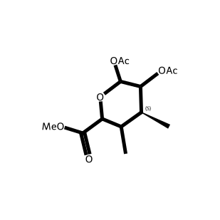 COC(=O)C1OC(OC(C)=O)C(OC(C)=O)[C@@H](C)C1C